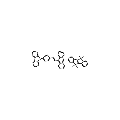 CC1(C)C2=C(c3ccccc31)C(C)(C)c1cc(-c3c4ccccc4c(/C=C/c4ccc(-n5c6ccccc6c6ccccc65)cc4)c4ccccc34)ccc12